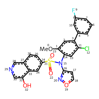 COc1cc(-c2cccc(F)c2)c(Cl)cc1N(c1ccon1)S(=O)(=O)c1ccc2cncc(O)c2c1